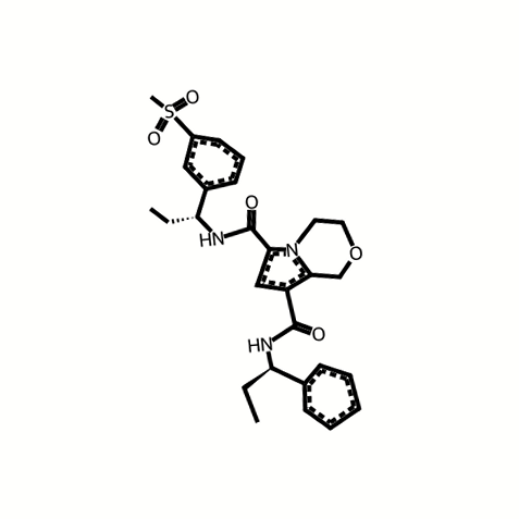 CC[C@@H](NC(=O)c1cc(C(=O)N[C@H](CC)c2cccc(S(C)(=O)=O)c2)n2c1COCC2)c1ccccc1